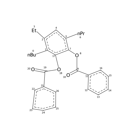 CCCCc1c(CC)cc(CCC)c(OC(=O)c2ccccc2)c1OC(=O)c1ccccc1